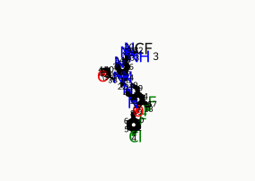 Fc1cc(Cl)ccc1COc1nc2c(cc1C(F)F)CCN(Cc1nc3cc(-c4nnc(C(F)(F)F)[nH]4)ncc3n1C[C@@H]1CCO1)C2